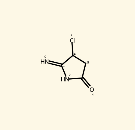 N=C1NC(=O)CC1Cl